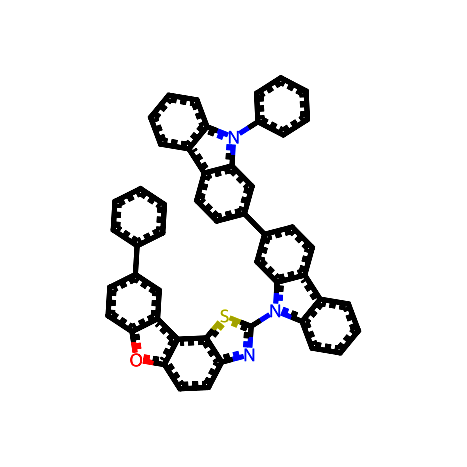 c1ccc(-c2ccc3oc4ccc5nc(-n6c7ccccc7c7ccc(-c8ccc9c%10ccccc%10n(-c%10ccccc%10)c9c8)cc76)sc5c4c3c2)cc1